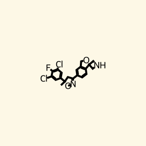 CC1(c2cc(Cl)c(F)c(Cl)c2)CC(c2ccc3c(c2)COC32CNC2)=NO1